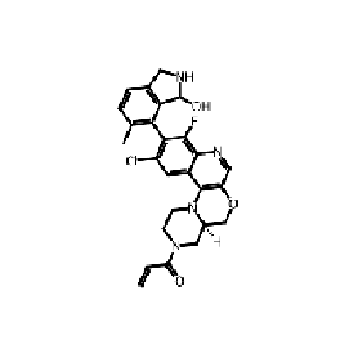 C=CC(=O)N1CCN2c3c(cnc4c(F)c(-c5c(C)ccc6c5C(O)NC6)c(Cl)cc34)OC[C@H]2C1